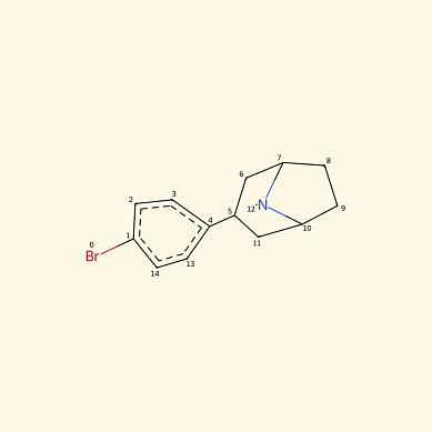 Brc1ccc(C2CC3CCC(C2)[N]3)cc1